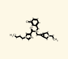 CCCCn1cnc(C(=O)N(Cc2cccc(Cl)c2)CC2C3CN(CC)CC32)c1